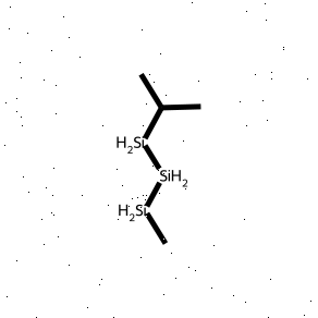 C[SiH2][SiH2][SiH2]C(C)C